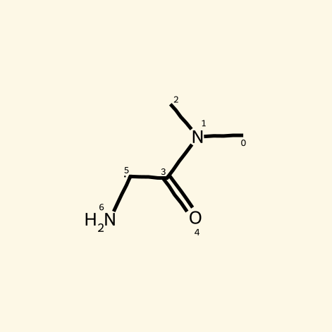 CN(C)C(=O)[CH]N